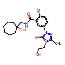 Cc1nn(-c2ccc(Cl)c(C(=O)NCC3(O)CCCCCC3)c2)c(=O)n1CCO